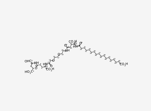 O=C[C@H](CCC(=O)O)NC(=O)CC[C@H](NC(=O)COCCOCCNC(=O)CC[C@H](NC(=O)CCCCCCCCCCCCCCCCC(=O)O)C(=O)O)C(=O)O